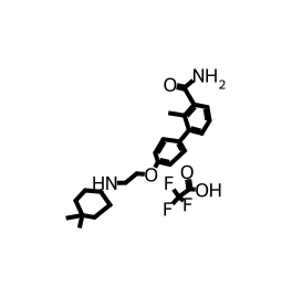 Cc1c(C(N)=O)cccc1-c1ccc(OCCNC2CCC(C)(C)CC2)cc1.O=C(O)C(F)(F)F